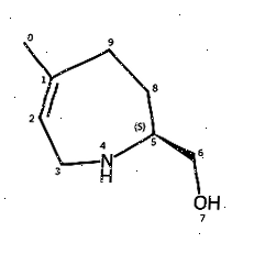 CC1=CCN[C@H](CO)CC1